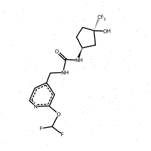 O=C(NCc1ccnc(OC(F)F)c1)N[C@H]1CC[C@](O)(C(F)(F)F)C1